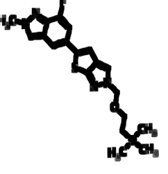 Cn1cc2cc(-c3cc4cn(COCC[Si](C)(C)C)nc4s3)cc(F)c2n1